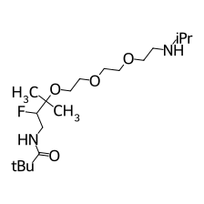 CC(C)NCCOCCOCCOC(C)(C)C(F)CNC(=O)C(C)(C)C